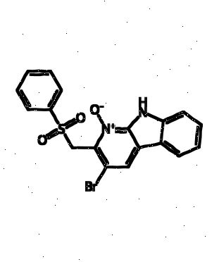 O=S(=O)(Cc1c(Br)cc2c3ccccc3[nH]c2[n+]1[O-])c1ccccc1